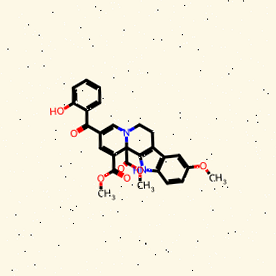 COC(=O)C1=CC(C(=O)c2ccccc2O)=CN2CCc3c([nH]c4ccc(OC)cc34)C12C(=O)OC